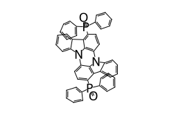 O=P(c1ccccc1)(c1ccccc1)c1ccc2c3c1c1ccccc1n3c1ccc(P(=O)(c3ccccc3)c3ccccc3)c3c4ccccc4n2c31